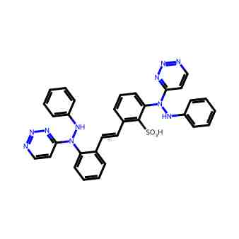 O=S(=O)(O)c1c(/C=C/c2ccccc2N(Nc2ccccc2)c2ccnnn2)cccc1N(Nc1ccccc1)c1ccnnn1